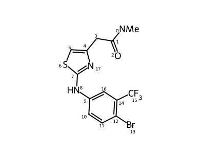 CNC(=O)Cc1csc(Nc2ccc(Br)c(C(F)(F)F)c2)n1